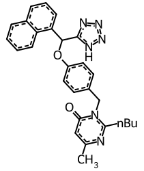 CCCCc1nc(C)cc(=O)n1Cc1ccc(OC(c2nnn[nH]2)c2cccc3ccccc23)cc1